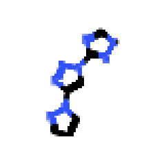 C1=NC(n2cc(-n3cccn3)nn2)=N[N]1